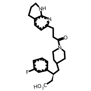 O=C(O)C[C@H](CC1CCN(C(=O)CCc2ccc3c(n2)NCCC3)CC1)c1cccc(F)c1